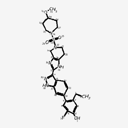 CCc1cc(O)c(F)cc1-c1ccc2c(-c3nc4c([nH]3)CCN(S(=O)(=O)N3CCC(OC)CC3)C4)n[nH]c2c1